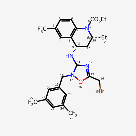 CCOC(=O)N1c2ccc(C(F)(F)F)cc2[C@@H](NC2N=C(CBr)ON2Cc2cc(C(F)(F)F)cc(C(F)(F)F)c2)C[C@H]1CC